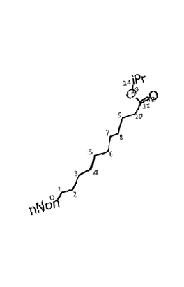 CCCCCCCCCCCCCCCCCCCC(=O)OC(C)C